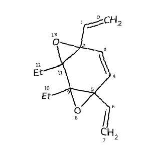 C=CC12C=CC3(C=C)OC3(CC)C1(CC)O2